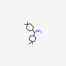 CC1(C)CCC(C(N)C2CCC(C)(C)CC2)CC1